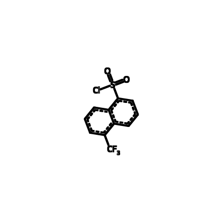 O=S(=O)(Cl)c1cccc2c(C(F)(F)F)cccc12